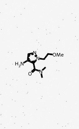 COCCn1ncc(N)c1C(=O)N(C)C